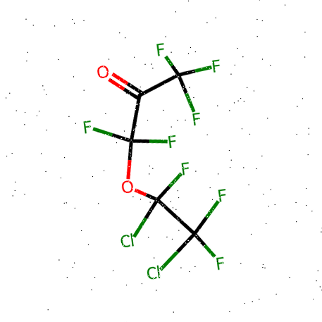 O=C(C(F)(F)F)C(F)(F)OC(F)(Cl)C(F)(F)Cl